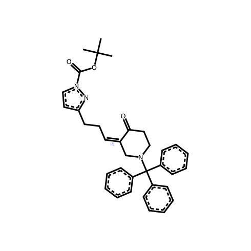 CC(C)(C)OC(=O)n1ccc(CC/C=C2/CN(C(c3ccccc3)(c3ccccc3)c3ccccc3)CCC2=O)n1